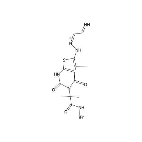 Cc1c(N/N=C\C=N)sc2[nH]c(=O)n(C(C)(C)C(=O)NC(C)C)c(=O)c12